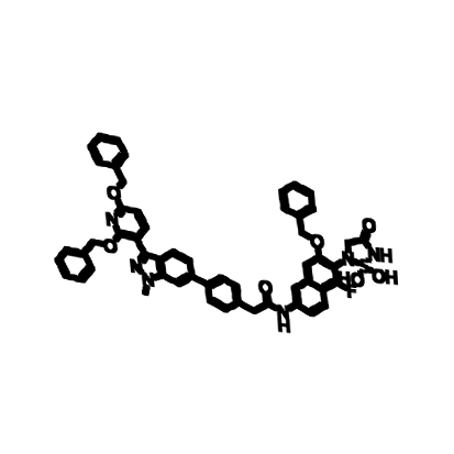 Cn1nc(-c2ccc(OCc3ccccc3)nc2OCc2ccccc2)c2ccc(-c3ccc(CC(=O)Nc4ccc5c(F)c(N6CC(=O)NS6(O)O)c(OCc6ccccc6)cc5c4)cc3)cc21